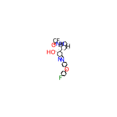 C[C@@H]1C[C@H]([C@@]2(C)Cc3cn(-c4ccc(Oc5ccc(F)cc5)cc4)nc3C[C@@H]2CO)[C@@H](CNC(=O)C(F)(F)F)[C@H]2CC[C@H](C)[C@@H]21